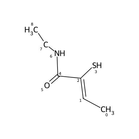 CC=C(S)C(=O)NCC